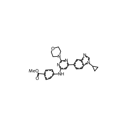 COC(=O)c1ccc(Nc2cc(-c3ccc4c(c3)ncn4C3CC3)nc(N3CCOCC3)n2)cc1